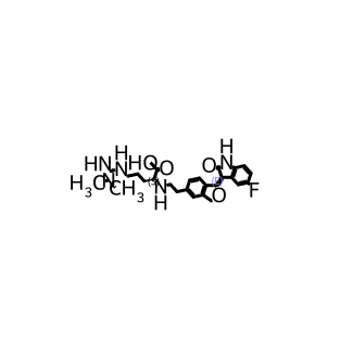 CN(C)C(=N)NCCC[C@H](NCCc1ccc2c(c1)CO/C2=C1/C(=O)Nc2ccc(F)cc21)C(=O)O